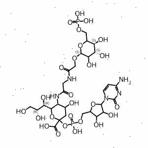 Nc1ccn(C2OC(COP(=O)(O)OC3(C(=O)O)CC(O)C(NC(=O)CNC(=O)CO[C@H]4OC(COP(=O)(O)O)[C@@H](O)[C@H](O)C4O)C([C@H](O)[C@H](O)CO)O3)C(O)C2O)c(=O)n1